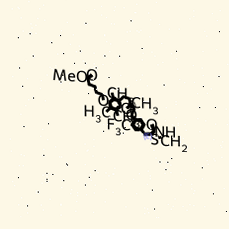 C=c1[nH]c(=O)/c(=C\c2ccc(OC[C@]3(C)CCc4c(C)c(OCCCCC(=O)OC)c(C)c(C)c4O3)c(C(F)(F)F)c2)s1